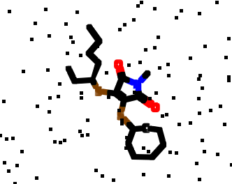 CCCC[C@H](CC)SC1=C(SC2CCCCCC2)C(=O)N(C)C1=O